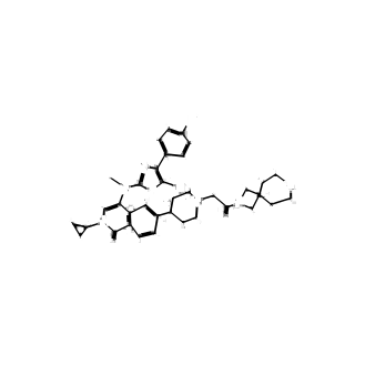 CN(c1nc(-c2ccc(F)cc2)c(C#N)s1)c1cn(C2CC2)c(=O)c2ccc(C3CCN(CC(=O)N4CC5(CCOCC5)C4)CC3)cc12